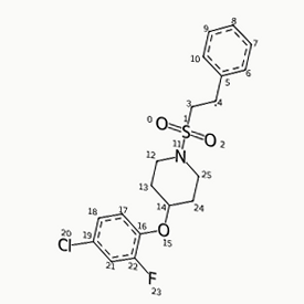 O=S(=O)(C[CH]c1ccccc1)N1CCC(Oc2ccc(Cl)cc2F)CC1